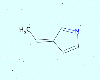 CC=C1C=CN=C1